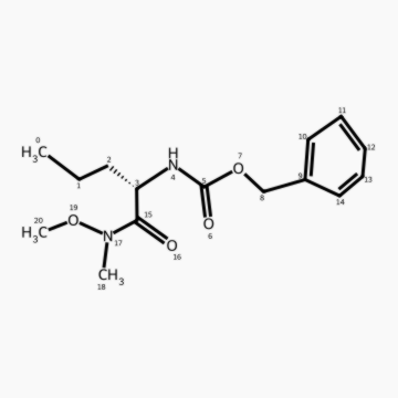 CCC[C@H](NC(=O)OCc1ccccc1)C(=O)N(C)OC